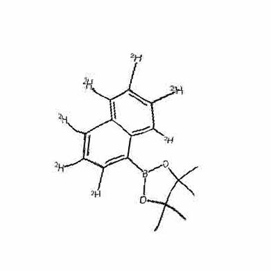 [2H]c1c([2H])c([2H])c2c(B3OC(C)(C)C(C)(C)O3)c([2H])c([2H])c([2H])c2c1[2H]